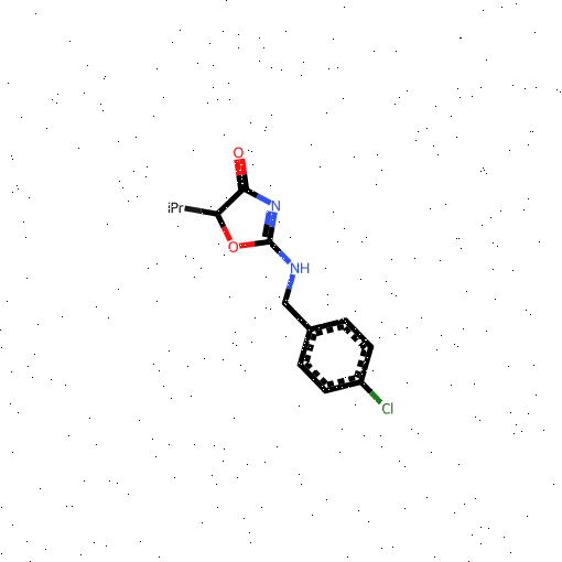 CC(C)C1OC(NCc2ccc(Cl)cc2)=NC1=O